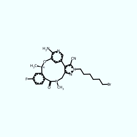 C[C@H]1Oc2cc(cnc2N)-c2c(nn(CCCCCCBr)c2C#N)CN(C)C(=O)c2ccc(F)cc21